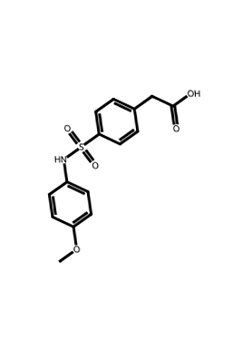 COc1ccc(NS(=O)(=O)c2ccc(CC(=O)O)cc2)cc1